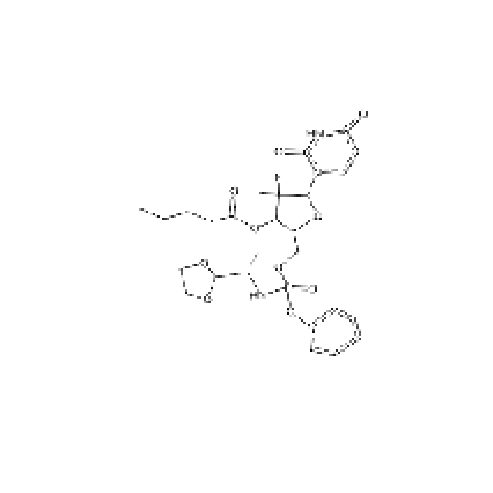 CCCCC(=O)OC1C(COP(=O)(N[C@@H](C)C2OCCO2)Oc2ccccc2)OC(n2ccc(=O)[nH]c2=O)C1(C)F